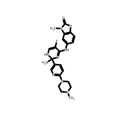 CN1CCN(c2ccc(C3(N)N=C(Nc4ccc5oc(=O)n(C)c5c4)C(F)=CN3)cn2)CC1